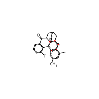 Cc1cnc(OC2CC3CCC2N(C(=O)c2cccc(F)c2-c2ncccn2)C3)c(F)c1